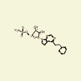 NS(=O)(=O)OC[C@H]1O[C@@H](n2ccc3c(CCc4ccccc4)ncnc32)[C@H](O)[C@@H]1O